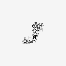 Cc1c(-c2ccc(N3CC[C@H](CNCc4ccccc4)C3)cc2)[nH]c2cc(F)cc(F)c2c1=O